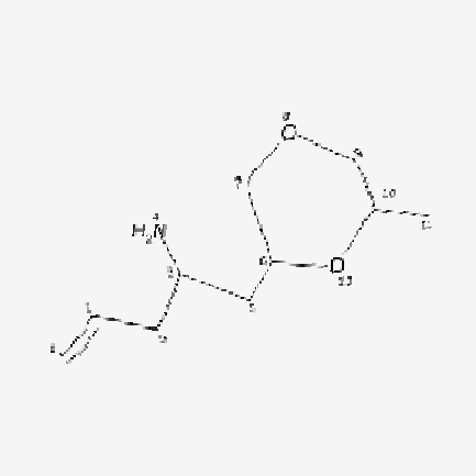 C=CCC(N)CC1COCC(C)O1